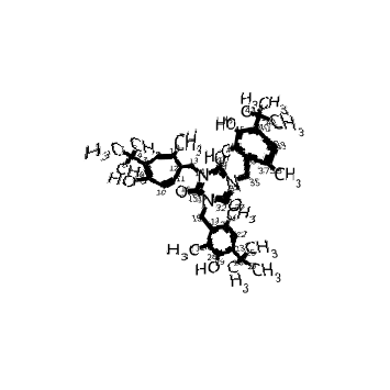 CC1=CC(C(C)(C)C)=C(O)C#CC1Cn1c(=O)n(Cc2c(C)cc(C(C)(C)C)c(O)c2C)c(=O)n(Cc2c(C)cc(C(C)(C)C)c(O)c2C)c1=O